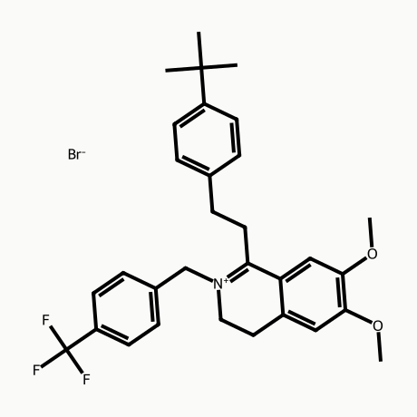 COc1cc2c(cc1OC)C(CCc1ccc(C(C)(C)C)cc1)=[N+](Cc1ccc(C(F)(F)F)cc1)CC2.[Br-]